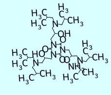 CC(C)CN(CC(C)C)CC(O)Cn1c(=O)n(CC(O)CN(CC(C)C)CC(C)C)c(=O)n(CC(CN(CC(C)C)CC(C)C)ON)c1=O